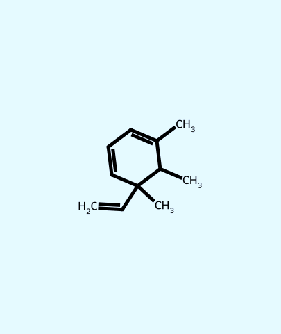 C=CC1(C)C=CC=C(C)C1C